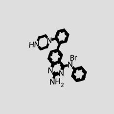 Nc1nc(N(Br)c2ccccc2)c2cc(-c3ccccc3N3CCNCC3)ccc2n1